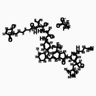 CC(C)[C@H](NC(=O)CCCCCN1C(=O)C=CC1=O)C(=O)N[C@@H](C)C(=O)Nc1ccc(C[N+]2(Cc3cc4c(c(C(F)(F)F)c3)CN(c3cc(C5(Cc6nncn6C)COC5)cc(NCCC#N)n3)C4=O)CCC[C@H](C)C2)cc1.O=C([O-])C(F)(F)F